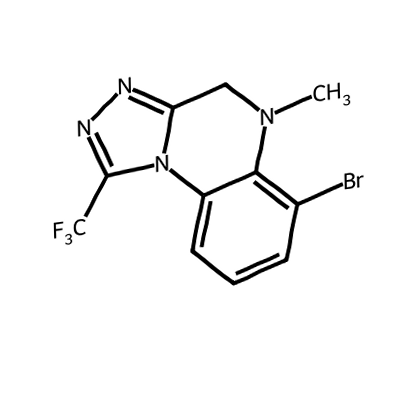 CN1Cc2nnc(C(F)(F)F)n2-c2cccc(Br)c21